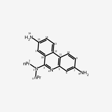 CCCN(CCC)c1nc2cc(N)ccc2c2ccc(N)cc12